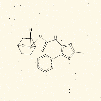 Cc1nc(NC(=O)O[C@H]2CN3CCC2CC3)c(-c2ccccc2)s1